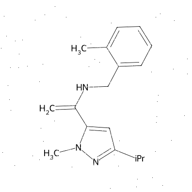 C=C(NCc1ccccc1C)c1cc(C(C)C)nn1C